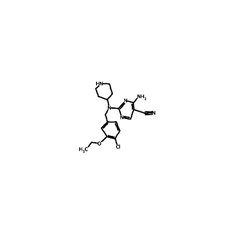 CCOc1cc(CN(c2ncc(C#N)c(N)n2)C2CCNCC2)ccc1Cl